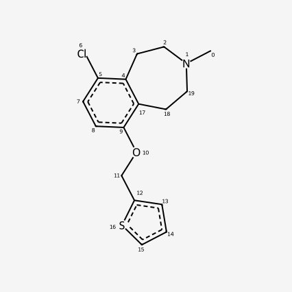 CN1CCc2c(Cl)ccc(OCc3cccs3)c2CC1